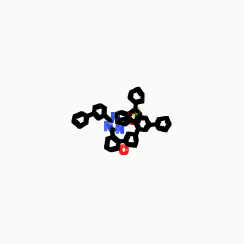 c1ccc(-c2cccc(-c3nc(-c4cccc(-c5ccccc5)c4)nc(-c4cccc5oc6ccc(-c7cc(-c8ccccc8)cc8sc9ccccc9c78)cc6c45)n3)c2)cc1